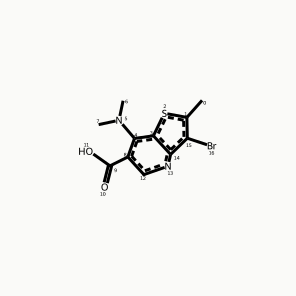 Cc1sc2c(N(C)C)c(C(=O)O)cnc2c1Br